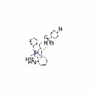 CN(C)c1ccc(S(=O)(=O)N2CCC(C3=C\CNNC4=C(C(=O)NCc5ccccc5)\C(=C\3)C=CC=C4)CC2)cc1